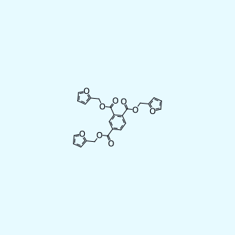 O=C(OCc1ccco1)c1ccc(C(=O)OCc2ccco2)c(C(=O)OCc2ccco2)c1